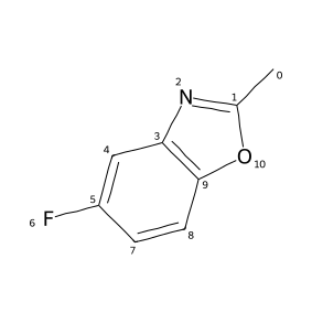 Cc1nc2cc(F)ccc2o1